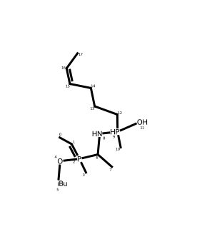 CC=P(C)(OC(C)CC)C(C)N[PH](C)(O)CCC/C=C\C